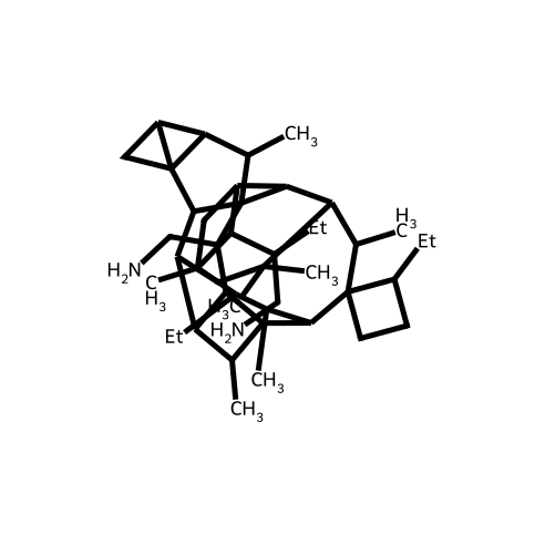 CCC(CN)C1C2CC1(C)C(CC)C(C)C1C3C(C)C4C5CC(C)(C)C(C(C)C16CCC6CC)C2C1(C(C)C2C6CC62C51)C(CN)C43